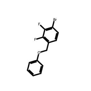 Fc1c(Br)ccc(COc2ccccc2)c1F